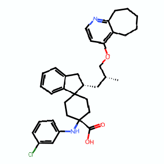 C[C@@H](COc1ccnc2c1CCCCC2)C[C@H]1Cc2ccccc2C12CCC(Nc1cccc(Cl)c1)(C(=O)O)CC2